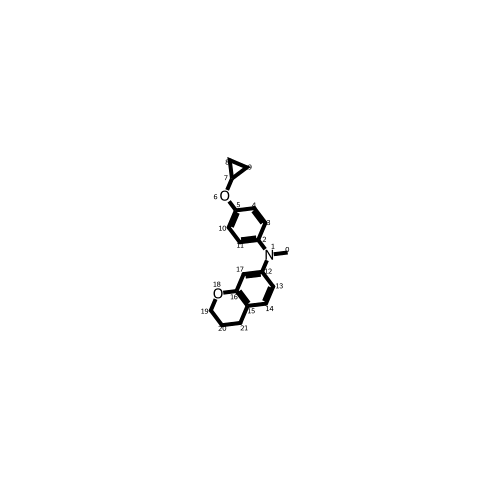 CN(c1ccc(OC2CC2)cc1)c1ccc2c(c1)OCCC2